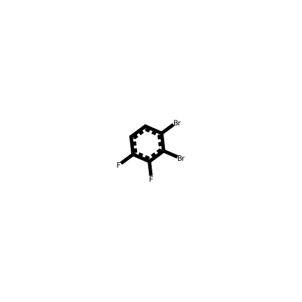 Fc1ccc(Br)c(Br)c1F